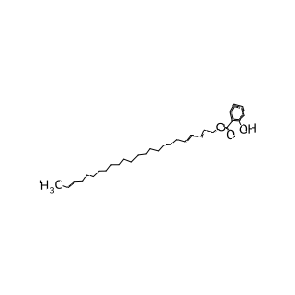 CCCCCCCCCCCCCCCCCCCCCCCCOC(=O)c1ccccc1O